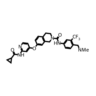 CNCc1ccc(NC(=O)N2CCc3ccc(Oc4ccnc(NC(=O)C5CC5)c4)cc3C2)cc1C(F)(F)F